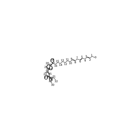 CCC=CCC=CCC=CCCCCCCCC(=O)c1ccc(C(C)=CC(=O)N(CC)CC)o1